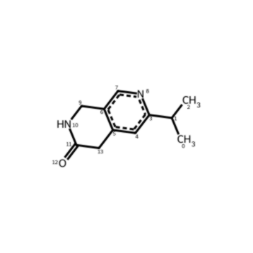 CC(C)c1cc2c(cn1)CNC(=O)C2